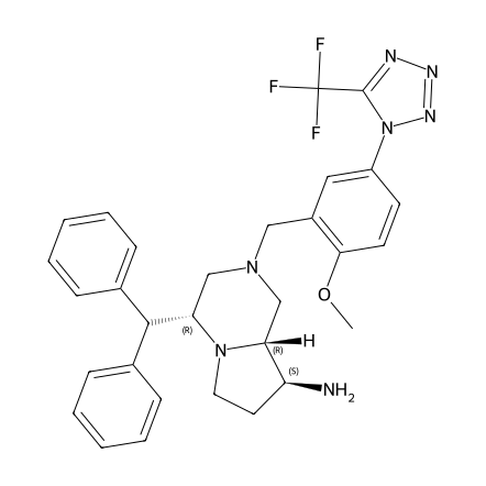 COc1ccc(-n2nnnc2C(F)(F)F)cc1CN1C[C@@H]2[C@@H](N)CCN2[C@H](C(c2ccccc2)c2ccccc2)C1